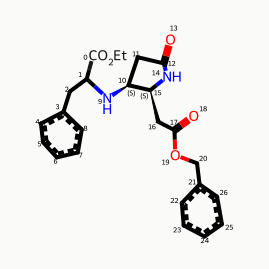 CCOC(=O)C(Cc1ccccc1)N[C@H]1CC(=O)N[C@H]1CC(=O)OCc1ccccc1